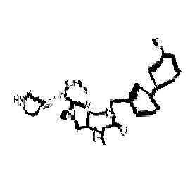 CN(c1ncc2[nH]c(=O)n(Cc3cccc(-c4cccc(F)c4)c3)c2n1)[C@@H]1CCNC1